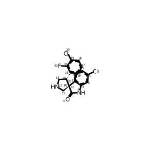 O=C1Nc2cc(Cl)ccc2[C@]12CNC[C@@H]2c1cccc(Cl)c1F